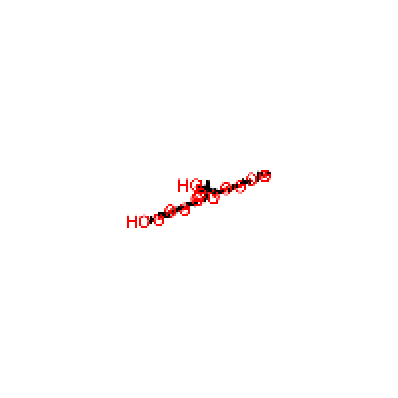 C=C(C)C(=O)O.COCCOCCOCCOCCOCCOCCOCCOCCOCCO